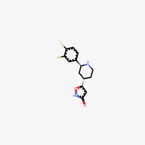 O=c1cc([C@H]2CCN[C@H](c3ccc(F)c(F)c3)C2)o[nH]1